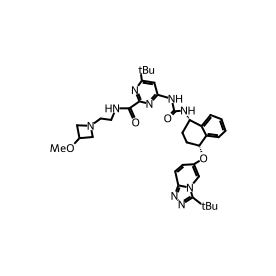 COC1CN(CCNC(=O)c2nc(NC(=O)N[C@H]3CC[C@@H](Oc4ccc5nnc(C(C)(C)C)n5c4)c4ccccc43)cc(C(C)(C)C)n2)C1